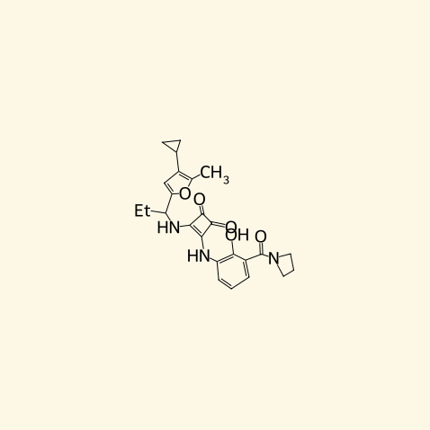 CCC(Nc1c(Nc2cccc(C(=O)N3CCC3)c2O)c(=O)c1=O)c1cc(C2CC2)c(C)o1